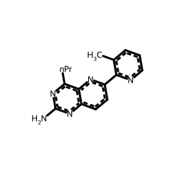 CCCc1nc(N)nc2ccc(-c3ncccc3C)nc12